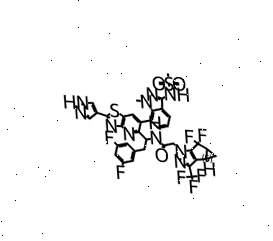 Cn1nc(NS(C)(=O)=O)c2cccc(-c3cc4sc(-c5cn[nH]c5)nc4nc3C(Cc3cc(F)cc(F)c3)NC(=O)Cn3nc(C(F)(F)F)c4c3C(F)(F)C3C[C@H]43)c21